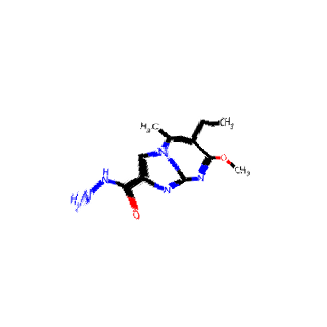 CCc1c(OC)nc2nc(C(=O)NN)cn2c1C